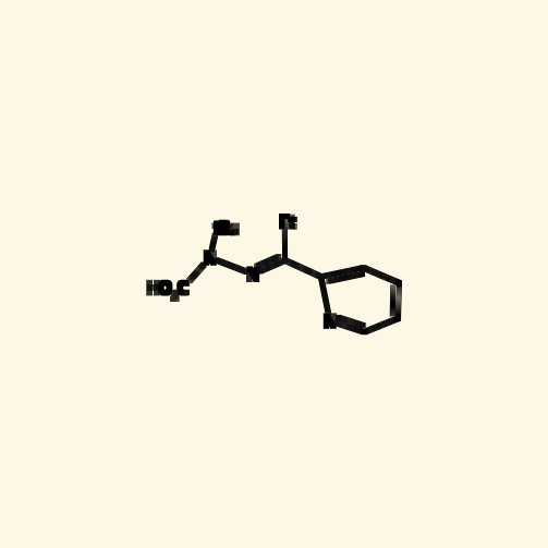 CCC(=NN(C(=O)O)C(C)(C)C)c1ccccn1